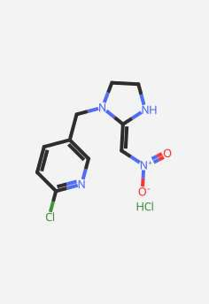 Cl.O=[N+]([O-])/C=C1\NCCN1Cc1ccc(Cl)nc1